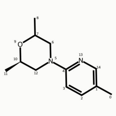 Cc1ccc(N2CC(C)O[C@H](C)C2)nc1